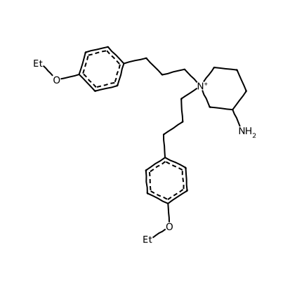 CCOc1ccc(CCC[N+]2(CCCc3ccc(OCC)cc3)CCCC(N)C2)cc1